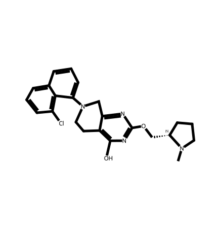 CN1CCC[C@H]1COc1nc(O)c2c(n1)CN(c1cccc3cccc(Cl)c13)CC2